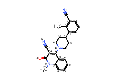 Cc1c(C#N)cccc1C1CCN(c2c(C#N)c(=O)n(C)c3ccccc23)CC1